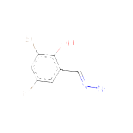 NN=Cc1cc(Br)cc(Br)c1O